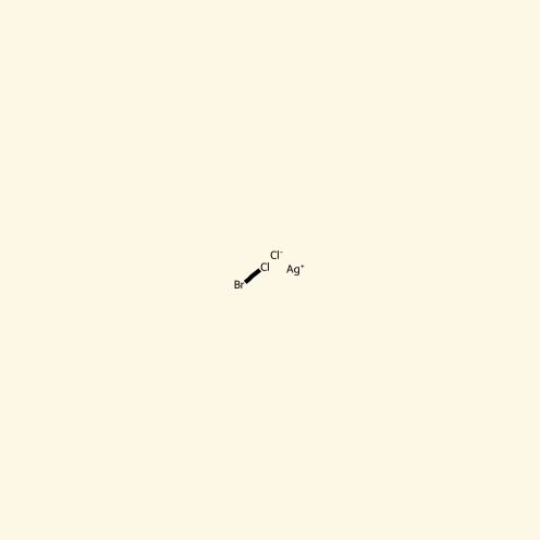 ClBr.[Ag+].[Cl-]